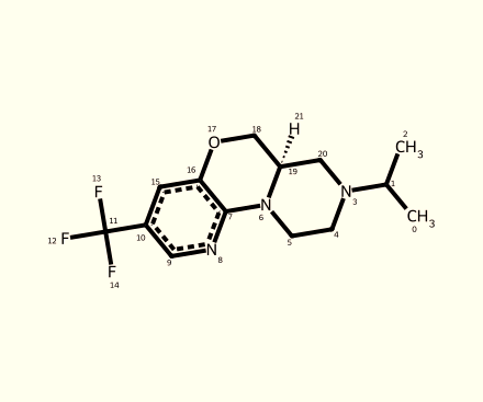 CC(C)N1CCN2c3ncc(C(F)(F)F)cc3OC[C@H]2C1